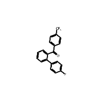 O=C(c1ccc(C(F)(F)F)cc1)c1ccccc1-c1ccc(F)cc1